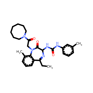 CCC1=NC(NC(=O)Nc2cccc(C)c2)C(=O)N(CC(=O)N2CCCCCCC2)c2c(C)cccc21